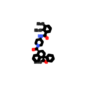 COC(=O)[C@]1(c2ccccc2)CC[C@@H](C(=O)N2CCC(NC(=O)c3cccc(OC)c3OC)CC2)c2ccccc21